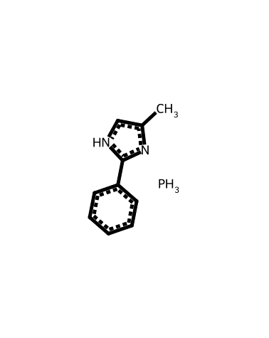 Cc1c[nH]c(-c2ccccc2)n1.P